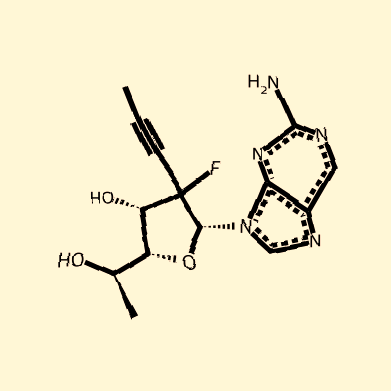 CC#CC1(F)[C@@H](O)[C@@H]([C@@H](C)O)O[C@H]1n1cnc2cnc(N)nc21